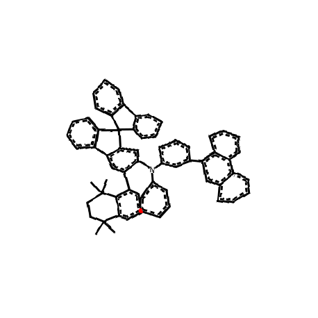 CC1(C)CCC(C)(C)c2c(-c3cc4c(cc3N(c3ccccc3)c3cccc(-c5cc6ccccc6c6ccccc56)c3)C3(c5ccccc5-c5ccccc53)c3ccccc3-4)cccc21